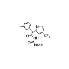 CNC(=O)NC(=O)C(c1cccc(C)c1)c1cc(C(F)(F)F)ccn1